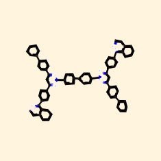 c1ccc(-c2ccc(-c3cc(-c4ccc(-c5nccc6ccccc56)cc4)nc(-c4ccc(-c5ccc(-c6nc(-c7ccc(-c8ccccc8)cc7)cc(-c7ccc(-c8nccc9ccccc89)cc7)n6)cc5)cc4)n3)cc2)cc1